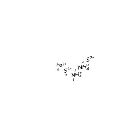 [Fe+2].[NH4+].[NH4+].[S-2].[S-2]